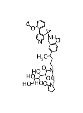 CC(CCCN(CCCN1CCCC1=O)C(=O)C(O)C(O)C(O)C(O)CO)c1ccc(Cl)c(CNC2(c3cnccc3-c3ccccc3OC3CC3)CC2)c1